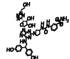 NS(=O)(=O)c1cccc(NC(=O)NC2CCN(c3nc(NCC(c4ccc(O)cc4)c4ccc(O)cc4)c4ncn([C@@H]5O[C@H](c6nnn(CCO)n6)[C@@H](O)[C@H]5O)c4n3)C2)c1